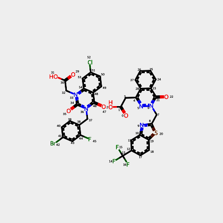 O=C(O)Cc1nn(Cc2nc3cc(C(F)(F)F)ccc3s2)c(=O)c2ccccc12.O=C(O)Cn1c(=O)n(Cc2ccc(Br)cc2F)c(=O)c2ccc(Cl)cc21